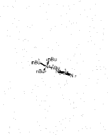 CCCC[N+](CCCC)(CCCC)CCCC.[N-]=[N+]=[N-]